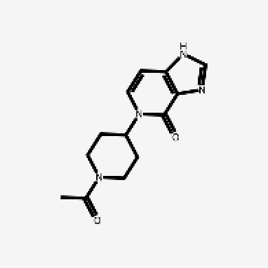 CC(=O)N1CCC(n2ccc3[nH]cnc3c2=O)CC1